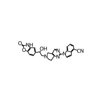 N#Cc1cccc2c1ccn2-c1ncc2c(n1)CCN(CC(O)c1ccc3oc(=O)[nH]c3c1)C2